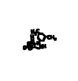 Cc1cc(C)cc(N2NC=C(O[PH](=O)O)C2O)c1